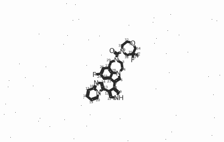 O=C(N1CCn2cc(-c3c[nH]cc3-c3cnc4ccccn34)c3cc(F)cc(c32)C1)N1CCOCC(F)(F)C1